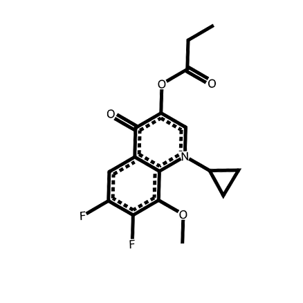 CCC(=O)Oc1cn(C2CC2)c2c(OC)c(F)c(F)cc2c1=O